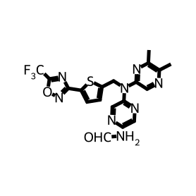 Cc1ncc(N(Cc2ccc(-c3noc(C(F)(F)F)n3)s2)c2cnccn2)nc1C.NC=O